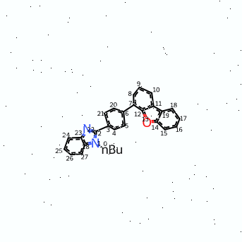 CCCCn1c(-c2ccc(-c3cccc4c3oc3ccccc34)cc2)nc2ccccc21